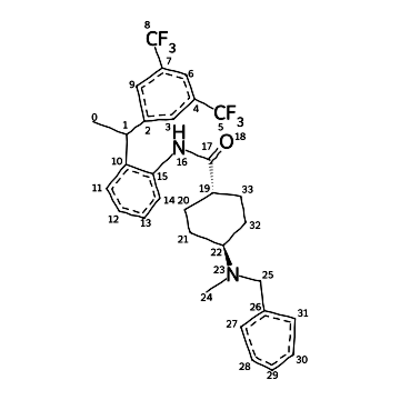 CC(c1cc(C(F)(F)F)cc(C(F)(F)F)c1)c1ccccc1NC(=O)[C@H]1CC[C@H](N(C)Cc2ccccc2)CC1